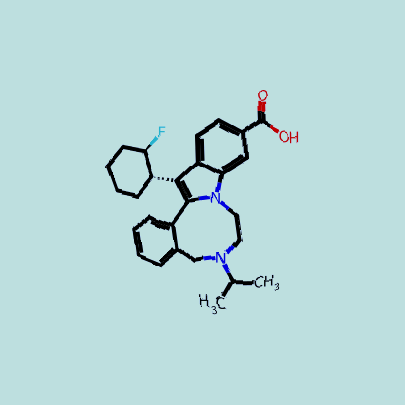 CC(C)N1CCn2c(c([C@@H]3CCCC[C@H]3F)c3ccc(C(=O)O)cc32)-c2ccccc2C1